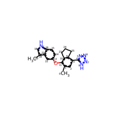 Cc1cc(-c2nnn[nH]2)c2c(c1Oc1ccc3[nH]cc(C)c3c1)CCC2